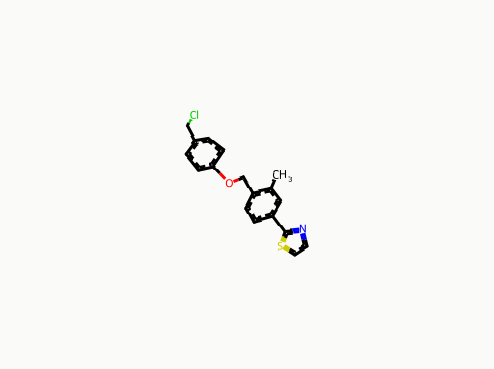 Cc1cc(-c2nccs2)ccc1COc1ccc(CCl)cc1